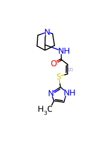 Cc1c[nH]c(S/C=C\C(=O)NC2CN3CCC2CC3)n1